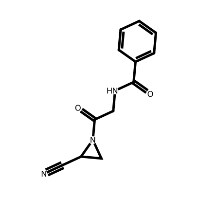 N#CC1CN1C(=O)CNC(=O)c1ccccc1